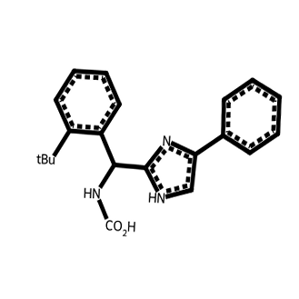 CC(C)(C)c1ccccc1C(NC(=O)O)c1nc(-c2ccccc2)c[nH]1